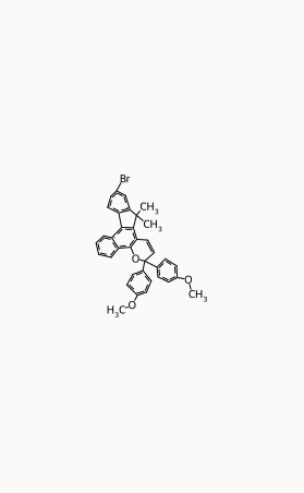 COc1ccc(C2(c3ccc(OC)cc3)C=Cc3c4c(c5ccccc5c3O2)-c2ccc(Br)cc2C4(C)C)cc1